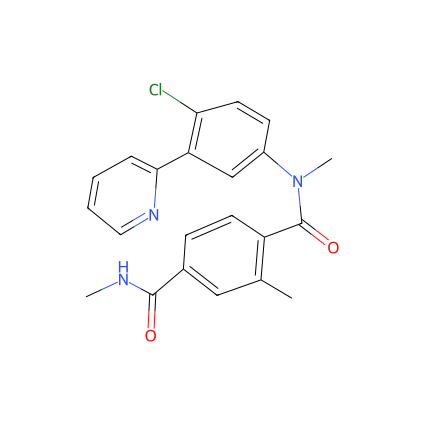 CNC(=O)c1ccc(C(=O)N(C)c2ccc(Cl)c(-c3ccccn3)c2)c(C)c1